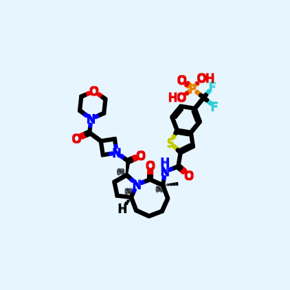 C[C@]1(NC(=O)c2cc3cc(C(F)(F)P(=O)(O)O)ccc3s2)CCCC[C@H]2CC[C@@H](C(=O)N3CC(C(=O)N4CCOCC4)C3)N2C1=O